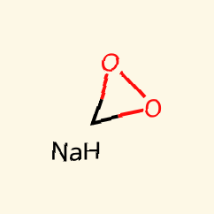 C1OO1.[NaH]